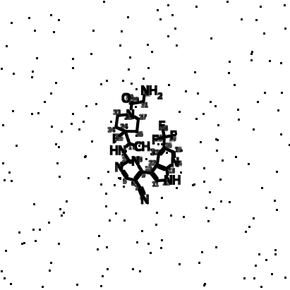 CC(Nc1ncc(C#N)c(-c2c[nH]c3ncc(C(F)(F)F)cc23)n1)C1(F)CCN(C(=O)CN)CC1